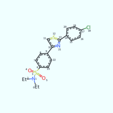 CCN(CC)S(=O)(=O)c1ccc(-c2csc(-c3ccc(Cl)cc3)n2)cc1